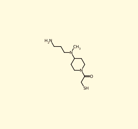 CN(CCCN)C1CCN(C(=O)CS)CC1